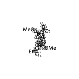 CCn1c2ccc(C)cc2c2cc(N(c3ccc(OC)cc3)c3ccc4c(c3)C3(c5cc(N(c6ccc(OC)cc6)c6ccc7c(c6)c6cc(C)ccc6n7CC)ccc5-4)c4ccsc4-c4sccc43)ccc21